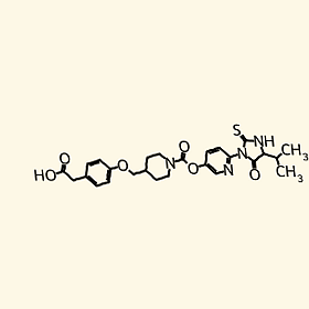 CC(C)C1NC(=S)N(c2ccc(OC(=O)N3CCC(COc4ccc(CC(=O)O)cc4)CC3)cn2)C1=O